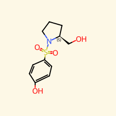 O=S(=O)(c1ccc(O)cc1)N1CCC[C@H]1CO